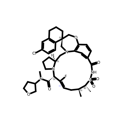 C[C@@H]1[C@@H](C)C/C=C(\F)[C@H](C(=O)N(C)C2CCOC2)N2CCC[C@H]2CN2C[C@@]3(CCCc4cc(Cl)ccc43)COc3ccc(cc32)C(=O)NS1(=O)=O